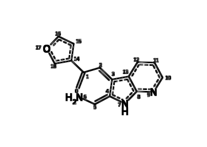 C=C(/C=c1\c(=C/N)[nH]c2ncccc12)c1ccoc1